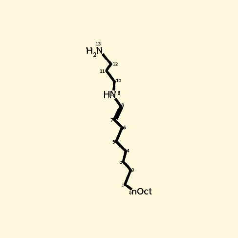 CCCCCCCCCCCCCCC=CNCCCN